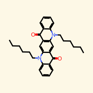 CCCCCCn1c2ccccc2c(=O)c2cc3c(cc21)c(=O)c1ccccc1n3CCCCCC